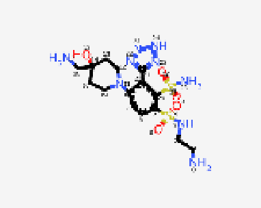 NCCNS(=O)(=O)c1ccc(N2CCC(O)(CN)CC2)c(-c2nn[nH]n2)c1S(N)(=O)=O